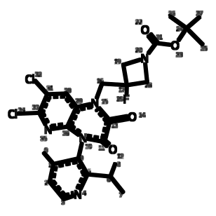 Cc1ccnc(C(C)C)c1-n1c(=O)c(=O)n(CC2(F)CN(C(=O)OC(C)(C)C)C2)c2cc(Cl)c(Cl)nc21